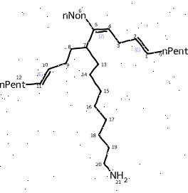 CCCCC/C=C/C/C=C(/CCCCCCCCC)C(CC/C=C/CCCCC)CCCCCCCCN